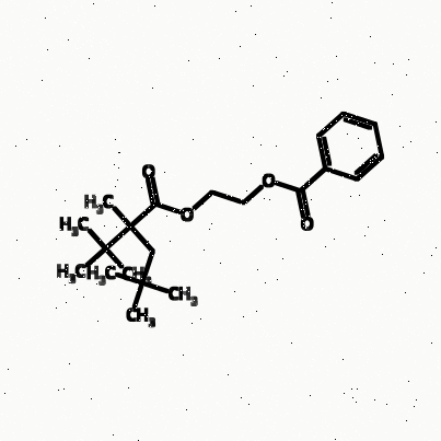 CC(C)(C)CC(C)(C(=O)OCCOC(=O)c1ccccc1)C(C)(C)C